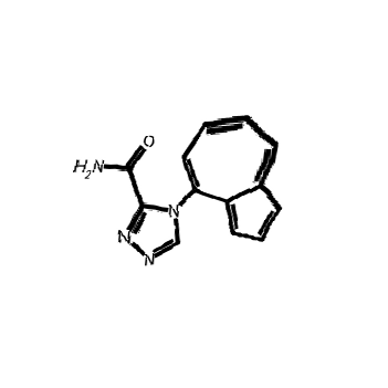 NC(=O)c1nncn1-c1ccccc2cccc1-2